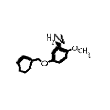 COc1ccc(OCC2CCCCC2)cc1N